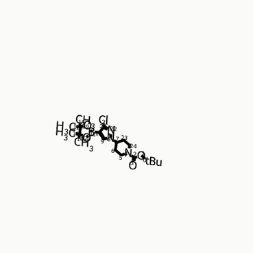 CC(C)(C)OC(=O)N1CCC(n2cc(B3OC(C)(C)C(C)(C)O3)c(Cl)n2)CC1